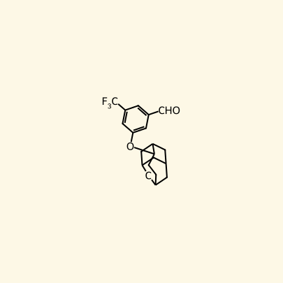 O=Cc1cc(OC2CCC3CC4CC(C3)CC2C4)cc(C(F)(F)F)c1